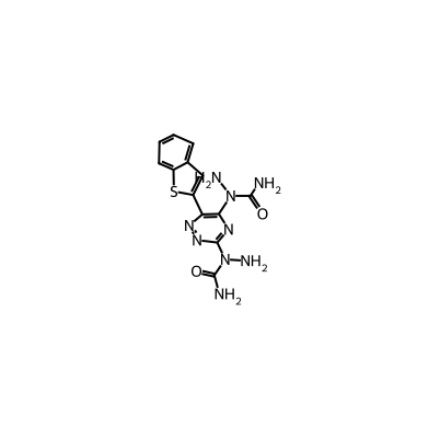 NC(=O)N(N)c1nnc(-c2cc3ccccc3s2)c(N(N)C(N)=O)n1